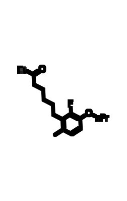 CCCOc1ccc(C)c(CCCCCC(=O)CC)c1F